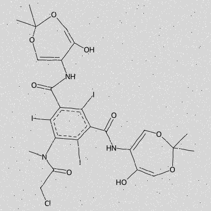 CN(C(=O)CCl)c1c(I)c(C(=O)NC2=COC(C)(C)OC=C2O)c(I)c(C(=O)NC2=COC(C)(C)OC=C2O)c1I